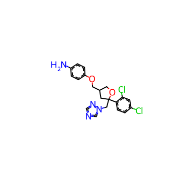 Nc1ccc(OCC2COC(Cn3cncn3)(c3ccc(Cl)cc3Cl)C2)cc1